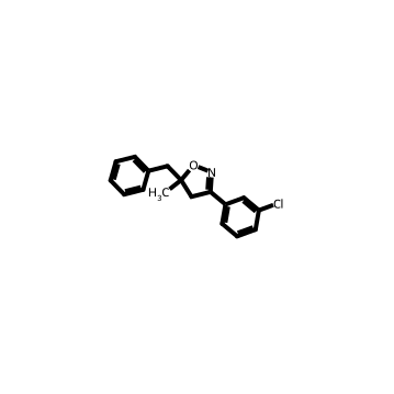 CC1(Cc2ccccc2)CC(c2cccc(Cl)c2)=NO1